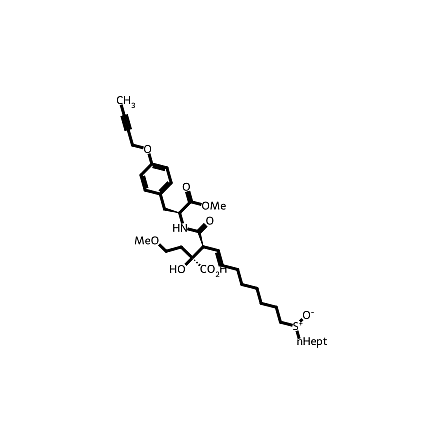 CC#CCOc1ccc(C[C@H](NC(=O)[C@@H](/C=C/CCCCCC[S+]([O-])CCCCCCC)[C@@](O)(CCOC)C(=O)O)C(=O)OC)cc1